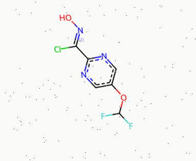 O/N=C(\Cl)c1ncc(OC(F)F)cn1